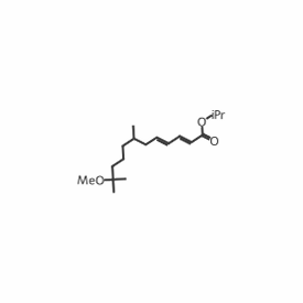 COC(C)(C)CCCC(C)CC=CC=CC(=O)OC(C)C